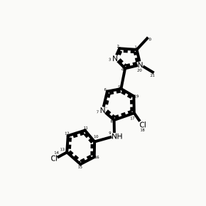 Cc1cnc(-c2cnc(Nc3ccc(Cl)cc3)c(Cl)c2)n1C